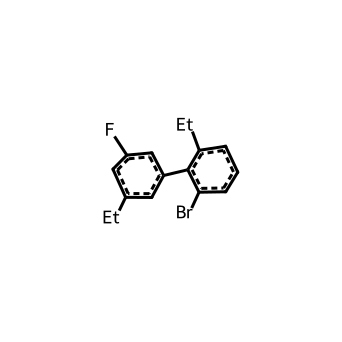 CCc1cc(F)cc(-c2c(Br)cccc2CC)c1